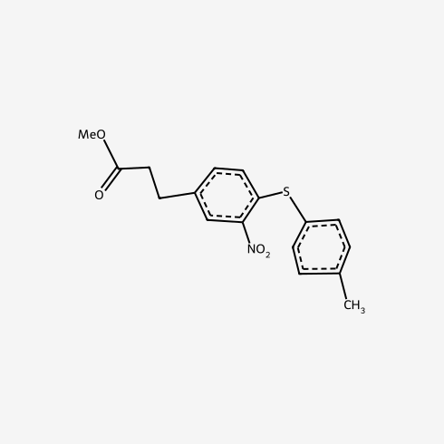 COC(=O)CCc1ccc(Sc2ccc(C)cc2)c([N+](=O)[O-])c1